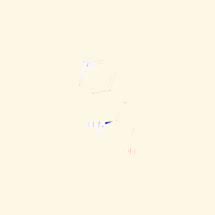 N[C@H](CO)Cc1ccncc1